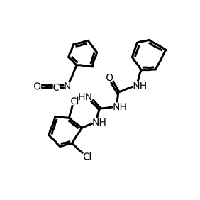 N=C(NC(=O)Nc1ccccc1)Nc1c(Cl)cccc1Cl.O=C=Nc1ccccc1